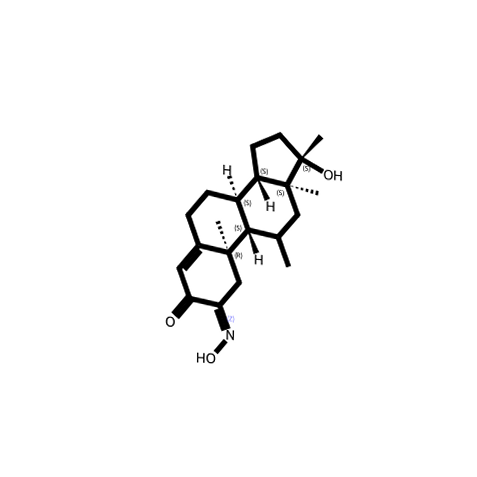 CC1C[C@@]2(C)[C@@H](CC[C@]2(C)O)[C@@H]2CCC3=CC(=O)/C(=N\O)C[C@]3(C)[C@@H]12